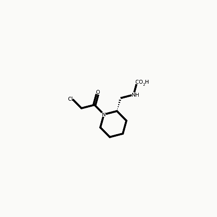 O=C(O)NC[C@@H]1CCCCN1C(=O)CCl